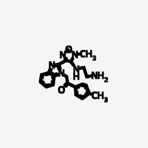 Cc1ccc(C(=O)Cn2c(C3=NON(C)C3NCCN)nc3ccccc32)cc1